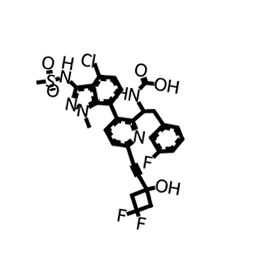 Cn1nc(NS(C)(=O)=O)c2c(Cl)ccc(-c3ccc(C#CC4(O)CC(F)(F)C4)nc3C(Cc3cccc(F)c3)NC(=O)O)c21